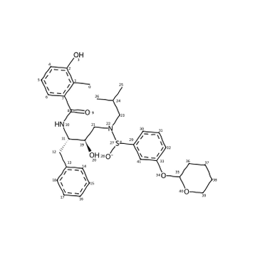 Cc1c(O)cccc1C(=O)N[C@@H](Cc1ccccc1)[C@H](O)CN(CC(C)C)[S+]([O-])c1cccc(OC2CCCCO2)c1